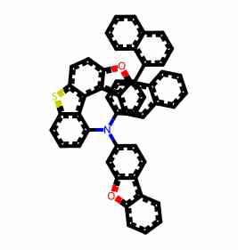 c1ccc2c(-c3ccc(N(c4ccc5c(c4)oc4ccccc45)c4cccc5sc6ccc7oc8c9ccccc9ccc8c7c6c45)cc3)cccc2c1